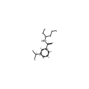 C=C(NC(CC)CCC)c1cccc(C(C)C)c1